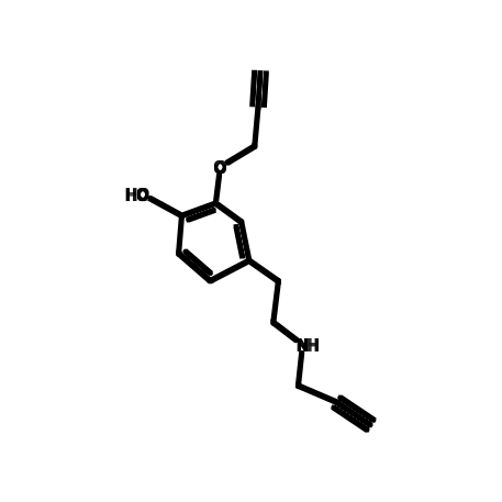 C#CCNCCc1ccc(O)c(OCC#C)c1